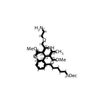 CCCCCCCCCCCCCCCc1cccc(OCC)c1C1C(C(=O)OC)=C(C)NC(COCCN)=C1C(=O)OC